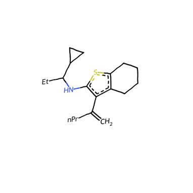 C=C(CCC)c1c(NC(CC)C2CC2)sc2c1CCCC2